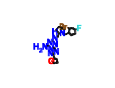 Nc1nc(NCC2CCCN2Cc2ccc(F)cc2Br)nc2nc(-c3ccco3)nn12